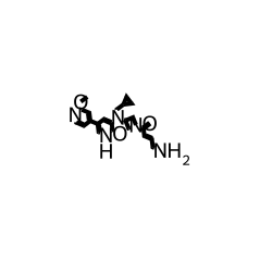 COc1cc(-c2c[nH]c(=O)c(N(CC3CC3)C3CN(C(=O)C=CCN)C3)c2)ccn1